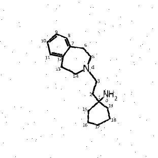 NC1(CCN2CCc3ccccc3CC2)CCCCC1